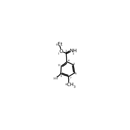 CCOC(=N)c1ccc(C)c(I)c1